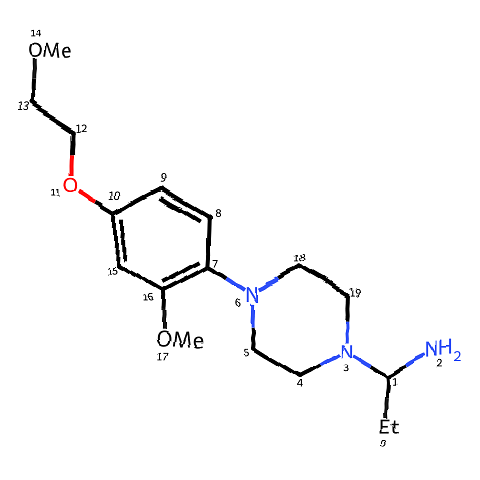 CCC(N)N1CCN(c2ccc(OCCOC)cc2OC)CC1